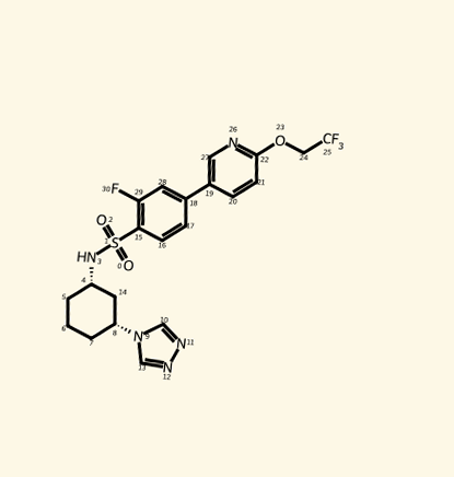 O=S(=O)(N[C@H]1CCC[C@@H](n2cnnc2)C1)c1ccc(-c2ccc(OCC(F)(F)F)nc2)cc1F